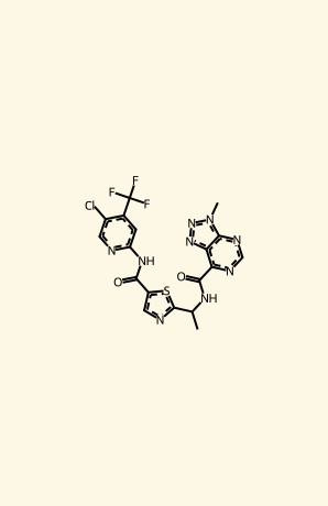 CC(NC(=O)c1ncnc2c1nnn2C)c1ncc(C(=O)Nc2cc(C(F)(F)F)c(Cl)cn2)s1